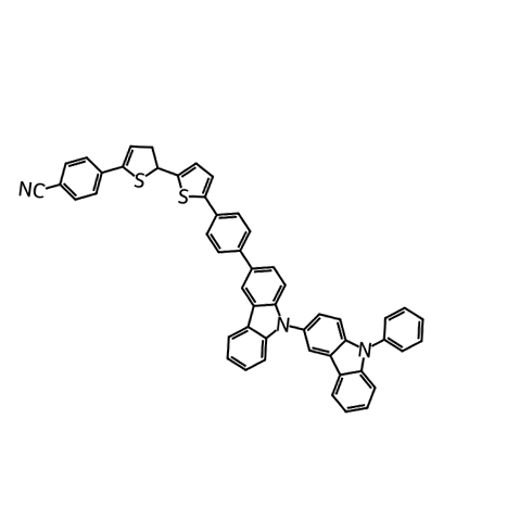 N#Cc1ccc(C2=CCC(c3ccc(-c4ccc(-c5ccc6c(c5)c5ccccc5n6-c5ccc6c(c5)c5ccccc5n6-c5ccccc5)cc4)s3)S2)cc1